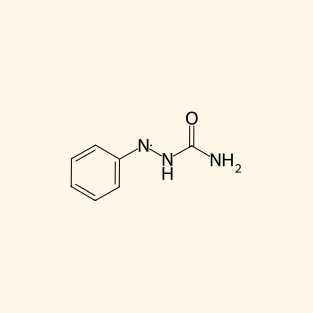 NC(=O)N[N]c1ccccc1